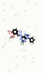 COc1cccc(CNc2nc(Cl)nc3c2ncn3C2CCCC2)c1OC